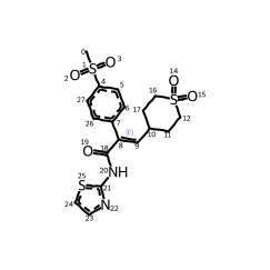 CS(=O)(=O)c1ccc(/C(=C\C2CCS(=O)(=O)CC2)C(=O)Nc2nccs2)cc1